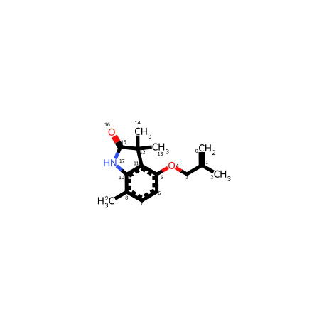 C=C(C)COc1ccc(C)c2c1C(C)(C)C(=O)N2